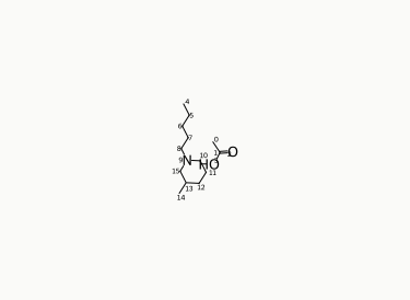 CC(=O)O.CCCCCN1CCCC(C)C1